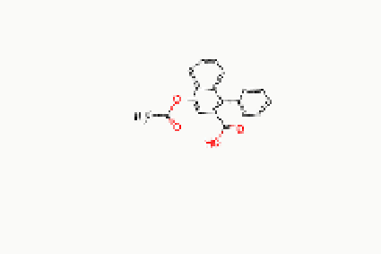 CC(=O)Oc1cc(C(=O)O)c(-c2ccccc2)c2ccccc12